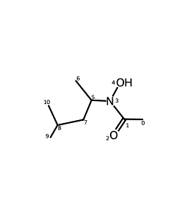 CC(=O)N(O)C(C)CC(C)C